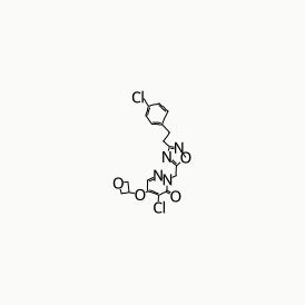 O=c1c(Cl)c(OC2COC2)cnn1Cc1nc(CCc2ccc(Cl)cc2)no1